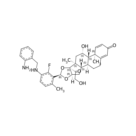 Cc1ccc(NCc2ccccc2N)c(F)c1[C@@H]1O[C@@H]2C[C@H]3[C@@H]4CCC5=CC(=O)C=C[C@]5(C)[C@H]4[C@@H](O)C[C@]3(C)[C@]2(C(=O)CO)O1